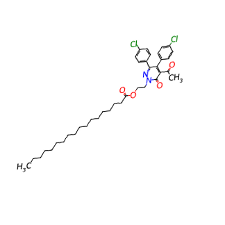 CCCCCCCCCCCCCCCCCC(=O)OCCn1nc(-c2ccc(Cl)cc2)c(-c2ccc(Cl)cc2)c(C(C)=O)c1=O